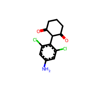 Nc1cc(Cl)c(C2C(=O)CCCC2=O)c(Cl)c1